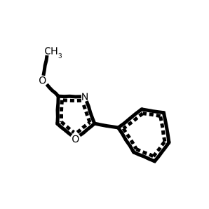 COc1coc(-c2ccccc2)n1